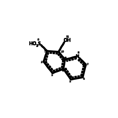 O=S(=O)(O)c1ccc2cccnc2c1O